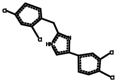 Clc1ccc(Cc2nc(-c3ccc(Cl)c(Cl)c3)c[nH]2)c(Cl)c1